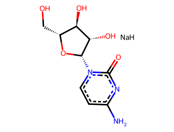 Nc1ccn([C@@H]2O[C@H](CO)[C@@H](O)[C@@H]2O)c(=O)n1.[NaH]